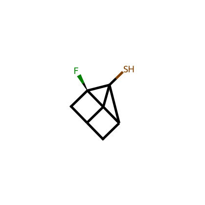 F[C@@]12CC3CC4C1(S)C342